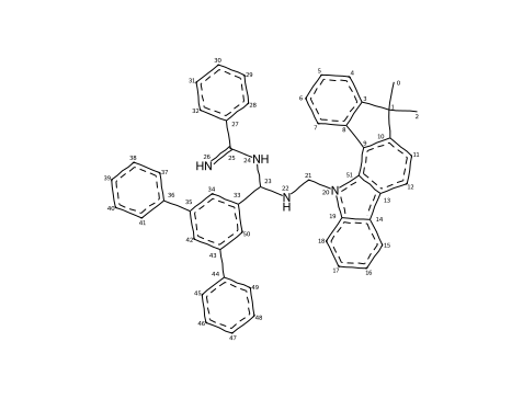 CC1(C)c2ccccc2-c2c1ccc1c3ccccc3n(CNC(NC(=N)c3ccccc3)c3cc(-c4ccccc4)cc(-c4ccccc4)c3)c21